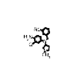 CN1CC[C@H](N(Cc2cccc(C#N)c2)c2ccc(N)c(Cl)c2)C1